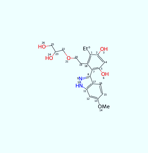 CCc1c(O)cc(O)c(-c2n[nH]c3cc(OC)ccc23)c1CCOCC(O)CO